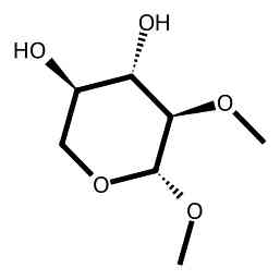 CO[C@@H]1OC[C@@H](O)[C@H](O)[C@H]1OC